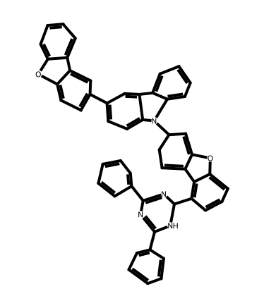 C1=c2oc3cccc(C4N=C(c5ccccc5)N=C(c5ccccc5)N4)c3c2=CCC1n1c2ccccc2c2cc(-c3ccc4oc5ccccc5c4c3)ccc21